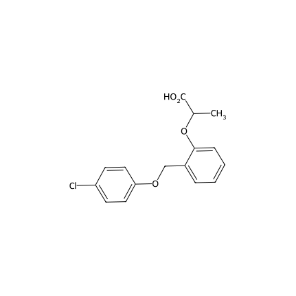 CC(Oc1ccccc1COc1ccc(Cl)cc1)C(=O)O